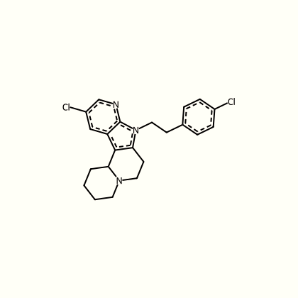 Clc1ccc(CCn2c3c(c4cc(Cl)cnc42)C2CCCCN2CC3)cc1